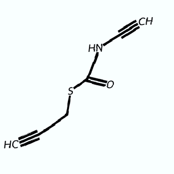 C#CCSC(=O)NC#C